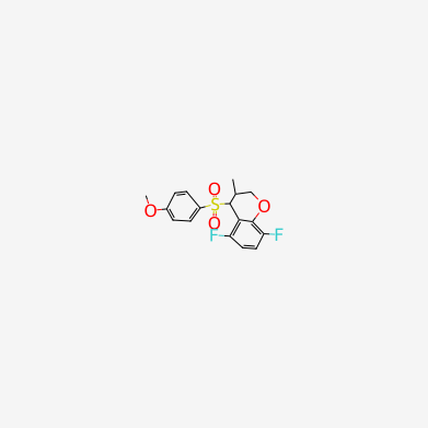 COc1ccc(S(=O)(=O)C2c3c(F)ccc(F)c3OCC2C)cc1